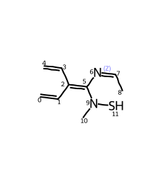 C=CC(C=C)=C(/N=C\C)N(C)S